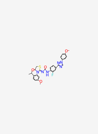 COc1ccc(-n2cnc(-c3ccc(NC(=O)N=C4SCC(=O)N4c4cc(OC)ccc4C(C)C)c(F)c3)n2)cc1